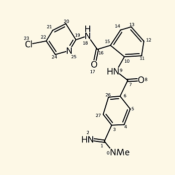 CNC(=N)c1ccc(C(=O)Nc2ccccc2C(=O)Nc2ccc(Cl)cn2)cc1